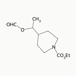 CCOC(=O)N1CCC(C(C)O[C]=O)CC1